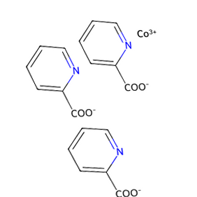 O=C([O-])c1ccccn1.O=C([O-])c1ccccn1.O=C([O-])c1ccccn1.[Co+3]